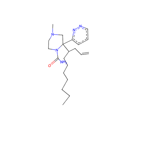 C=CCC(CCCCCCC)C1(c2cccnn2)CN(C)CCN1C(N)=O